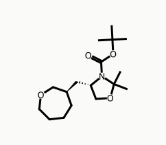 CC(C)(C)OC(=O)N1[C@@H](C[C@H]2CCCCOC2)COC1(C)C